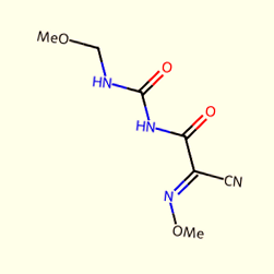 COCNC(=O)NC(=O)C(C#N)=NOC